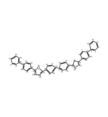 c1ccc(-c2ccc(C3=NN=C(c4ccc(-c5ccc(-c6nnc(-c7ccc(-c8ccccc8)cc7)o6)cc5)cc4)C3)cc2)cc1